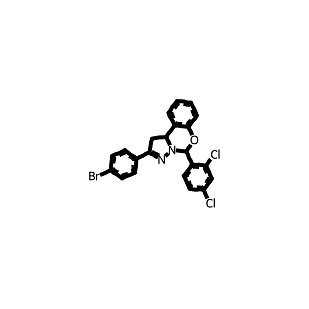 Clc1ccc(C2Oc3ccccc3C3CC(c4ccc(Br)cc4)=NN32)c(Cl)c1